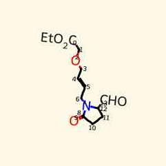 CCOC(=O)COCC=CCN1C(=O)CCC1C=O